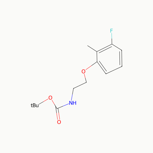 Cc1c(F)cccc1OCCNC(=O)OC(C)(C)C